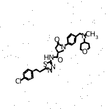 CN(Cc1ccc(N2CC(C(=O)Nc3nnc(CCc4ccc(Cl)cc4)s3)CC2=O)cc1)C1CCOCC1